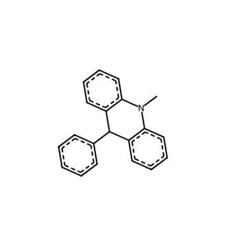 CN1c2ccccc2C(c2ccccc2)c2ccccc21